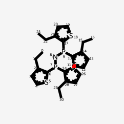 CCc1ccsc1P([N]P(c1sccc1CC)c1sccc1CC)c1sccc1CC